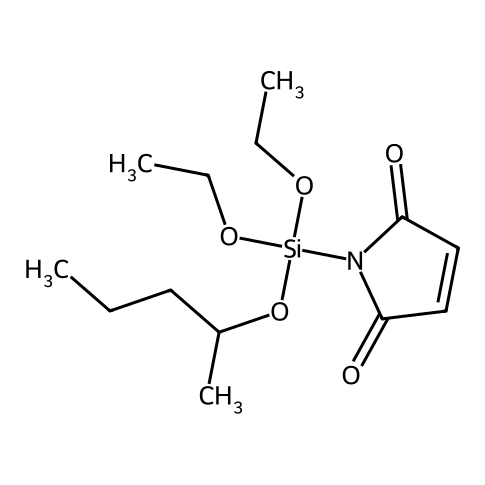 CCCC(C)O[Si](OCC)(OCC)N1C(=O)C=CC1=O